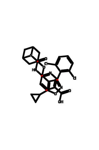 O=C(O)c1ccc(NC(=O)N2C3CC(OCc4c(-c5c(Cl)cccc5Cl)noc4C4CC4)CC2C3)nc1